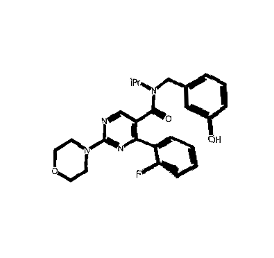 CC(C)N(Cc1cccc(O)c1)C(=O)c1cnc(N2CCOCC2)nc1-c1ccccc1F